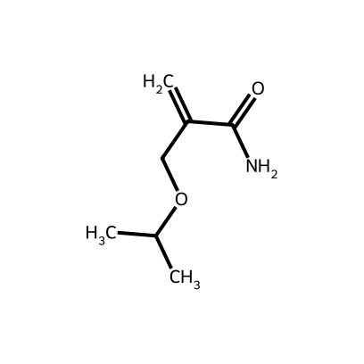 C=C(COC(C)C)C(N)=O